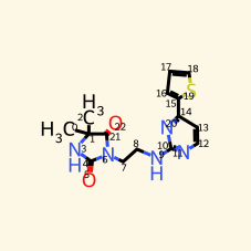 CC1(C)NC(=O)N(CCNc2nccc(-c3cccs3)n2)C1=O